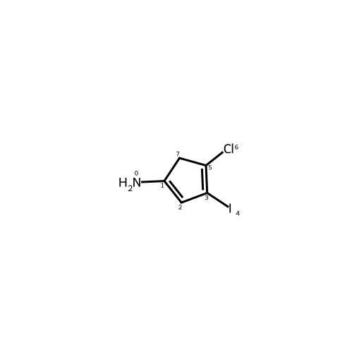 NC1=CC(I)=C(Cl)C1